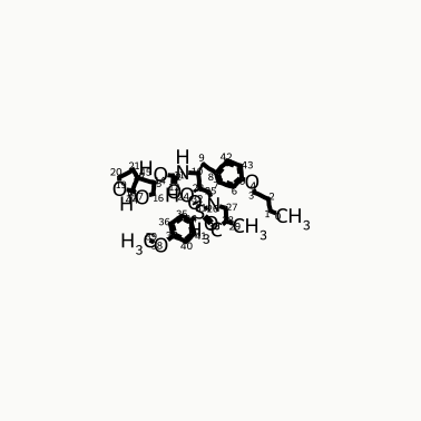 CCCCOc1ccc(C[C@H](NC(=O)O[C@H]2CO[C@H]3OCC[C@H]32)[C@H](O)CN(CC(C)C)S(=O)(=O)c2ccc(OC)cc2)cc1